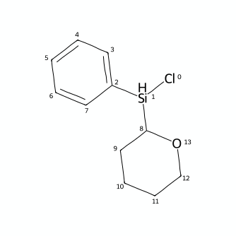 Cl[SiH](c1ccccc1)C1CCCCO1